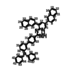 N=C(/N=c1\[nH]cc(-c2ccc3ccccc3c2)cc1-c1ccc2ccccc2c1)c1ccc(-c2cccc(P(c3ccccc3)c3ccccc3)c2)cc1